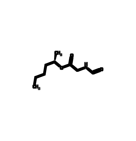 CCCC[C@H](C)OC(=O)CNC=O